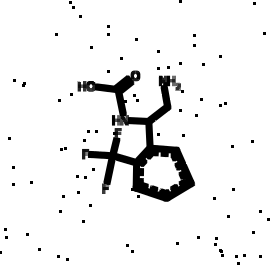 NCC(NC(=O)O)c1ccccc1C(F)(F)F